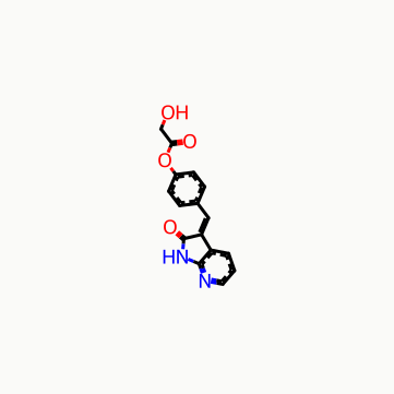 O=C(CO)Oc1ccc(C=C2C(=O)Nc3ncccc32)cc1